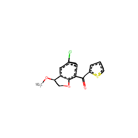 O=C(O)OC1COc2c(C(=O)c3cccs3)cc(Cl)cc21